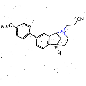 COc1ccc(-c2ccc3c(c2)C2C[C@H]3CCN2CCC#N)cc1